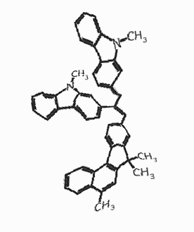 Cc1cc2c(c3ccccc13)-c1ccc(/C=C(/Cc3ccc4c5ccccc5n(C)c4c3)c3ccc4c5ccccc5n(C)c4c3)cc1C2(C)C